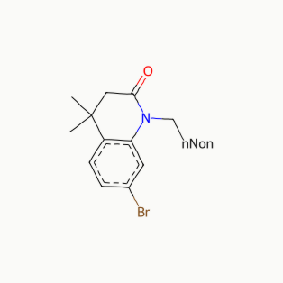 CCCCCCCCCCN1C(=O)CC(C)(C)c2ccc(Br)cc21